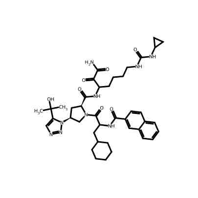 CC(C)(O)c1cnnn1[C@H]1C[C@@H](C(=O)NC(CCCCNC(=O)NC2CC2)C(=O)C(N)=O)N(C(=O)C(CC2CCCCC2)NC(=O)c2ccc3ccccc3c2)C1